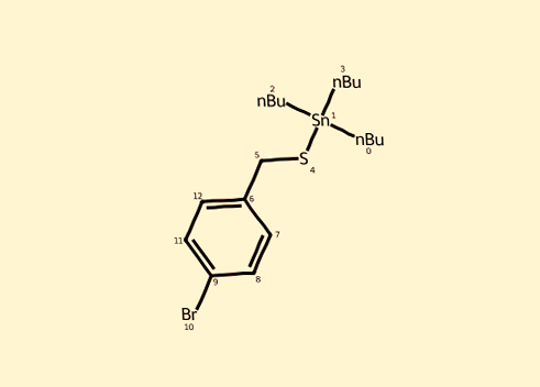 CCC[CH2][Sn]([CH2]CCC)([CH2]CCC)[S]Cc1ccc(Br)cc1